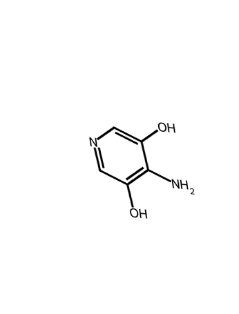 Nc1c(O)cncc1O